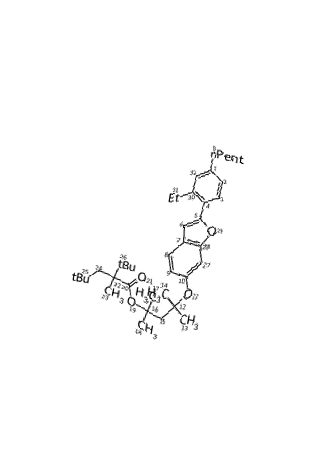 CCCCCc1ccc(-c2cc3ccc(OC(C)(C)CC(C)(C)OC(=O)C(C)(CC(C)(C)C)C(C)(C)C)cc3o2)c(CC)c1